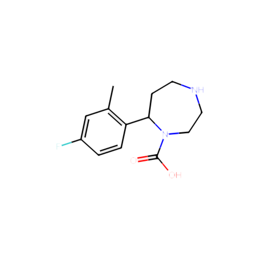 Cc1cc(F)ccc1C1CCNCCN1C(=O)O